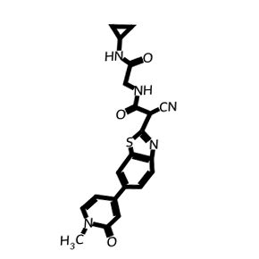 Cn1ccc(-c2ccc3nc(C(C#N)C(=O)NCC(=O)NC4CC4)sc3c2)cc1=O